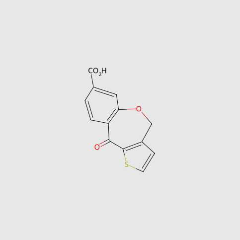 O=C(O)c1ccc2c(c1)OCc1ccsc1C2=O